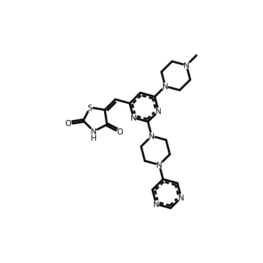 CN1CCN(c2cc(/C=C3/SC(=O)NC3=O)nc(N3CCN(c4cncnc4)CC3)n2)CC1